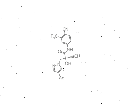 C#CC(O)(Cn1cc(C(C)=O)cn1)C(=O)Nc1ccc(C#N)c(C(F)(F)F)c1